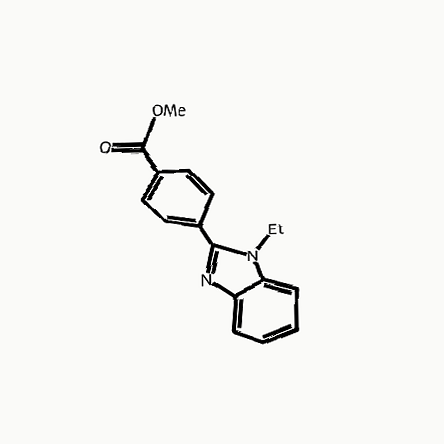 CCn1c(-c2ccc(C(=O)OC)cc2)nc2ccccc21